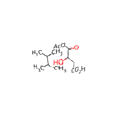 CC(=O)OC(=O)C(O)CC(=O)O.CC(C)C(C)C